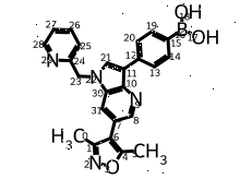 Cc1noc(C)c1-c1cnc2c(-c3ccc(B(O)O)cc3)cn(Cc3ccccn3)c2c1